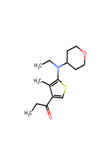 CCC(=O)c1csc(N(CC)C2CCOCC2)c1C